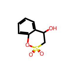 O=S1(=O)CC(O)c2ccccc2O1